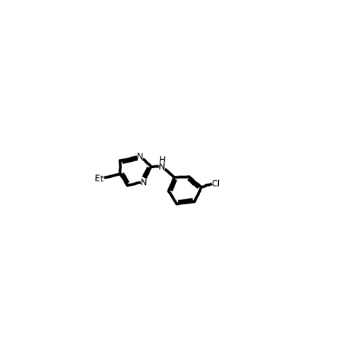 CCc1cnc(Nc2cccc(Cl)c2)nc1